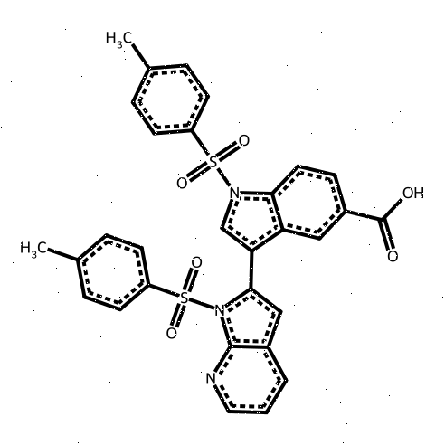 Cc1ccc(S(=O)(=O)n2cc(-c3cc4cccnc4n3S(=O)(=O)c3ccc(C)cc3)c3cc(C(=O)O)ccc32)cc1